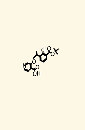 CC(COc1cnccc1C(=O)O)c1cccc(C(=O)OC(C)(C)C)c1Cl